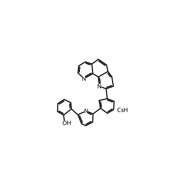 Oc1ccccc1-c1cccc(-c2cccc(-c3ccc4ccc5cccnc5c4n3)c2)n1.[CsH]